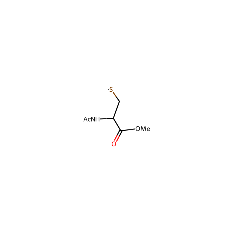 COC(=O)C(C[S])NC(C)=O